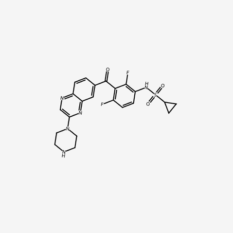 O=C(c1ccc2ncc(N3CCNCC3)nc2c1)c1c(F)ccc(NS(=O)(=O)C2CC2)c1F